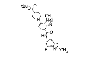 Cc1cn2cc(NC(=O)c3ccc(N4CCN(C(=O)OC(C)(C)C)CC4)c4c3nnn4C)cc(F)c2n1